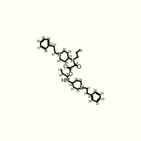 CCCN(C(=O)C(=O)OC(CC)NC1CCN(CCc2ccccc2)CC1)C1CCN(CCc2ccccc2)CC1